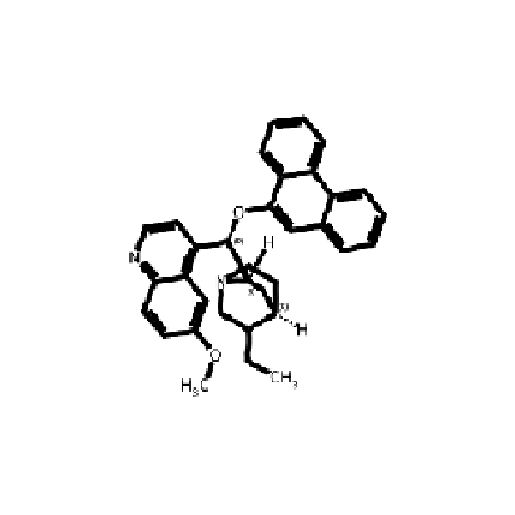 CCC1CN2CC[C@@H]1C[C@H]2[C@H](Oc1cc2ccccc2c2ccccc12)c1ccnc2ccc(OC)cc12